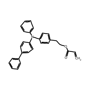 C=CC(=O)OCCc1ccc(N(c2ccccc2)c2ccc(-c3ccccc3)cc2)cc1